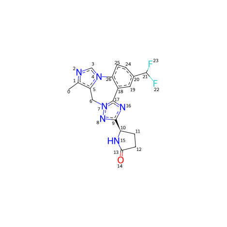 Cc1ncn2c1Cn1nc([C@H]3CCC(=O)N3)nc1-c1cc(C(F)F)ccc1-2